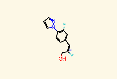 OC/C(F)=C\c1ccc(-n2cccn2)c(F)c1